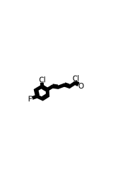 O=C(Cl)/C=C/C=C/c1ccc(F)cc1Cl